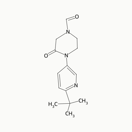 CC(C)(C)c1ccc(N2CCN(C=O)CC2=O)cn1